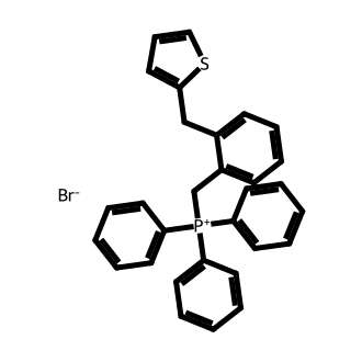 [Br-].c1ccc([P+](Cc2ccccc2Cc2cccs2)(c2ccccc2)c2ccccc2)cc1